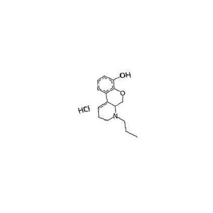 CCCN1CCC=C2c3cccc(O)c3OCC21.Cl